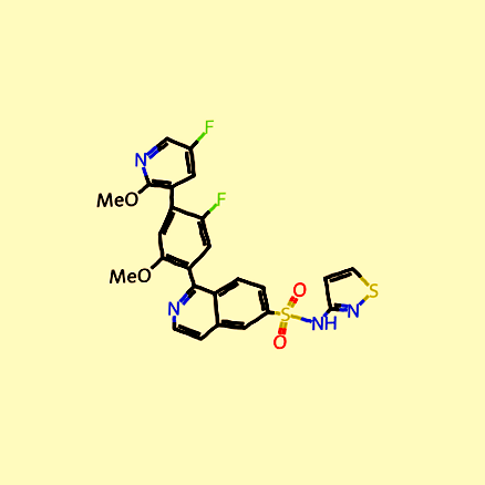 COc1cc(-c2cc(F)cnc2OC)c(F)cc1-c1nccc2cc(S(=O)(=O)Nc3ccsn3)ccc12